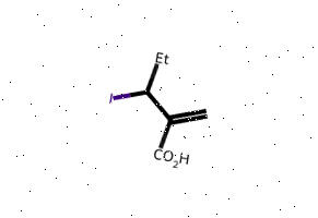 C=C(C(=O)O)C(I)CC